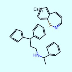 C1=Cc2ccccc2SN=C1.CC(NCCC(c1ccccc1)c1ccccc1)c1ccccc1.[CaH2]